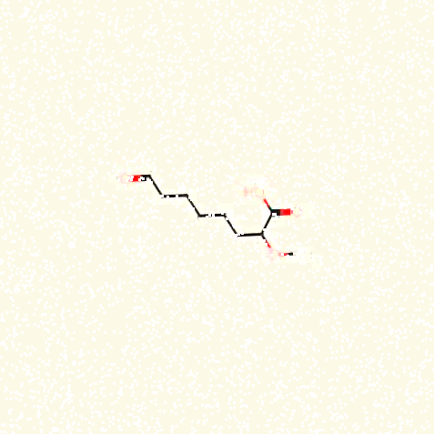 COC(CCCCCC=O)C(=O)O